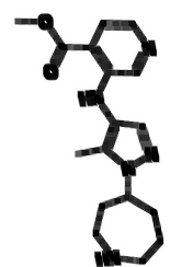 COC(=O)c1ccncc1Nc1cnn(C2CCCNCC2)c1C